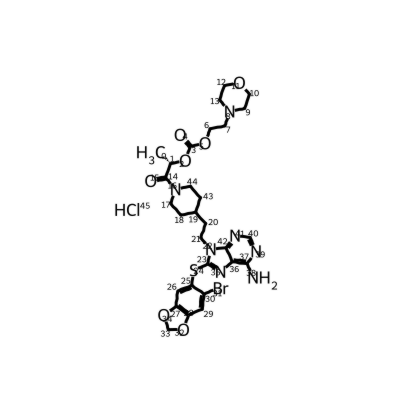 C[C@H](OC(=O)OCCN1CCOCC1)C(=O)N1CCC(CCn2c(Sc3cc4c(cc3Br)OCO4)nc3c(N)ncnc32)CC1.Cl